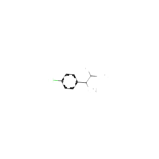 CC(=O)OC(C)C(C#N)c1ccc(Cl)cc1